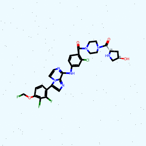 O=C(c1ccc(Nc2nccn3c(-c4ccc(OCF)c(F)c4F)cnc23)cc1Cl)N1CCN(C(=O)[C@@H]2C[C@@H](O)CN2)CC1